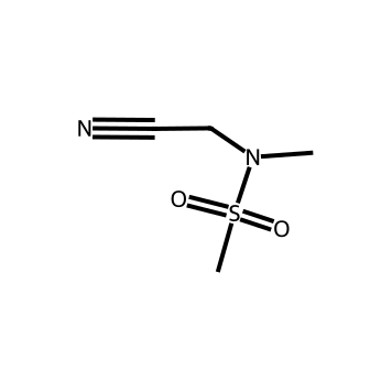 CN(CC#N)S(C)(=O)=O